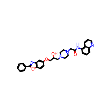 O=C(CN1CCN(C[C@@H](O)COc2ccc3oc(-c4ccccc4)nc3c2)CC1)Nc1cccc2ncccc12